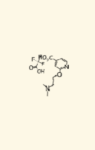 CN(C)CCOc1cc(C(=O)O)ccn1.O=C(O)C(F)(F)F